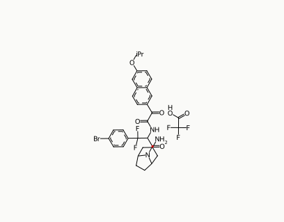 CC(C)Oc1ccc2cc(C(=O)C(=O)NC(C(=O)N3C4CCC3CC(N)C4)C(F)(F)c3ccc(Br)cc3)ccc2c1.O=C(O)C(F)(F)F